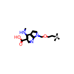 CNc1c(C(=O)O)cnc2c1ccn2COCC[Si](C)(C)C